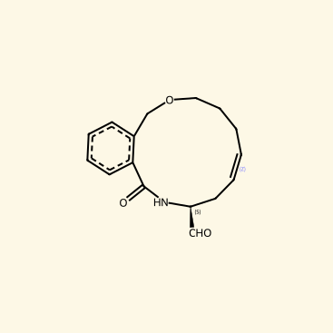 O=C[C@@H]1C/C=C\CCCOCc2ccccc2C(=O)N1